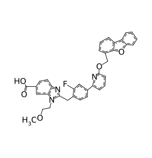 COCCn1c(Cc2ccc(-c3cccc(OCc4cccc5c4oc4ccccc45)n3)cc2F)nc2ccc(C(=O)O)cc21